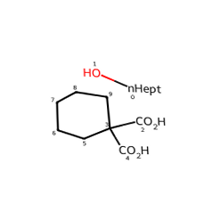 CCCCCCCO.O=C(O)C1(C(=O)O)CCCCC1